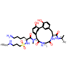 CCCCCCCCCNCCCS(=O)(=O)N[C@@H](CCCCN)C(=O)N(C)[C@@H]1C(=O)N[C@@H](C)C(=O)N[C@H](C(=O)N[C@@H](C)C(C)=O)Cc2ccc(O)c(c2)-c2cc1ccc2O